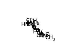 CC(=O)NC[C@H]1CN(c2ccc(-c3ccc(CNC(C)c4n[nH]cc4Cl)cc3)c(F)c2)C(=O)O1